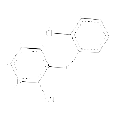 N#Cc1ncccc1Oc1ccccc1Cl